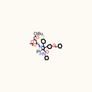 CC(C)COC(=O)C[C@H]1C[C@@H](CCn2c(-c3ccc(F)cc3)c(-c3ccc(OCc4ccccc4)cc3)c(C(=O)Nc3ccccc3)c2C(C)C)OC(C)(C)O1